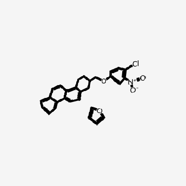 O=[N+]([O-])c1cc(OCC2CCc3c(ccc4c3ccc3ccccc34)C2)ccc1Cl.c1ccoc1